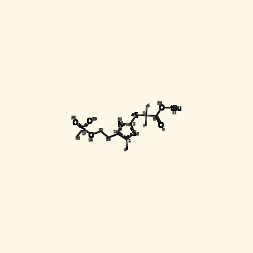 Cc1sc(SC(C)(C)C(=O)OC(C)(C)C)nc1CCOS(C)(=O)=O